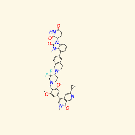 COc1cc(-c2cn(C)c(=O)c3cnc(C4CC4)cc23)cc(OC)c1CN1CCC(N2CCc3cc(-c4cccc5c4n(C)c(=O)n5C4CCC(=O)NC4=O)ccc3C2)C(F)(F)C1